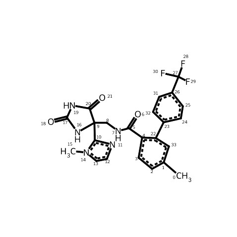 Cc1ccc(C(=O)NCC2(c3nccn3C)NC(=O)NC2=O)c(-c2ccc(C(F)(F)F)cc2)c1